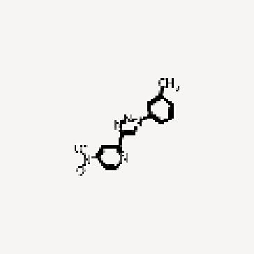 Cc1cccc(-n2cc(-c3cc([N+](=O)[O-])ccn3)nn2)c1